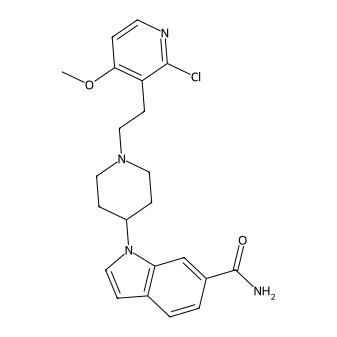 COc1ccnc(Cl)c1CCN1CCC(n2ccc3ccc(C(N)=O)cc32)CC1